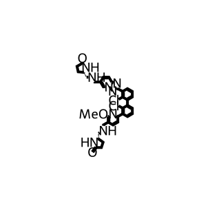 COc1nc(-c2cccc(-c3cccc(-c4nc5ccc(CNC[C@@H]6CCC(=O)N6)cn5n4)c3Cl)c2Cl)ccc1CNC[C@@H]1CCC(=O)N1